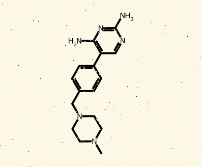 CN1CCN(Cc2ccc(-c3cnc(N)nc3N)cc2)CC1